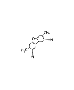 Cc1cc2oc3cc(C)c(C#N)cc3c2cc1C#N